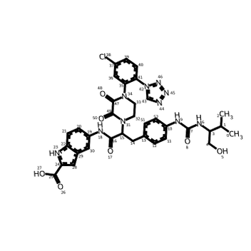 CC(C)C(CO)NC(=O)Nc1ccc(CC(C(=O)Nc2ccc3[nH]c(C(=O)O)cc3c2)N2CCN(c3cc(Cl)ccc3-n3cnnn3)C(=O)C2=O)cc1